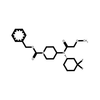 COCC(=O)N(C1CCN(C(=O)OCc2ccccc2)CC1)[C@H]1CCCC(F)(F)C1